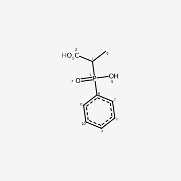 CC(C(=O)O)P(=O)(O)c1ccccc1